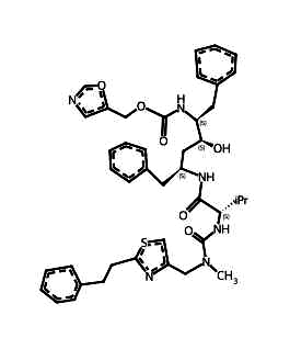 CC(C)[C@H](NC(=O)N(C)Cc1csc(CCc2ccccc2)n1)C(=O)N[C@@H](Cc1ccccc1)C[C@H](O)[C@H](Cc1ccccc1)NC(=O)OCc1cnco1